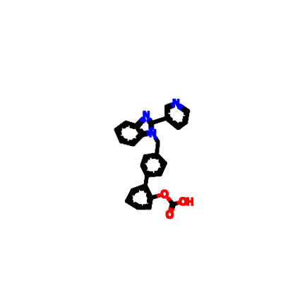 O=C(O)Oc1ccccc1-c1ccc(Cn2c(-c3cccnc3)nc3ccccc32)cc1